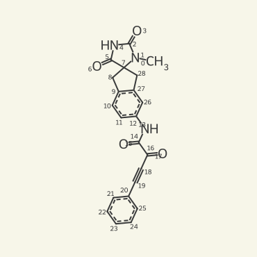 CN1C(=O)NC(=O)C12Cc1ccc(NC(=O)C(=O)C#Cc3ccccc3)cc1C2